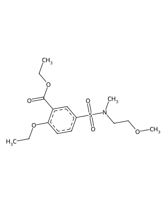 CCOC(=O)c1cc(S(=O)(=O)N(C)CCOC)ccc1OCC